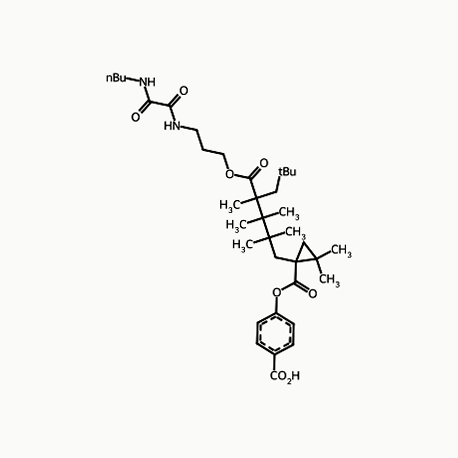 CCCCNC(=O)C(=O)NCCCOC(=O)C(C)(CC(C)(C)C)C(C)(C)C(C)(C)CC1(C(=O)Oc2ccc(C(=O)O)cc2)CC1(C)C